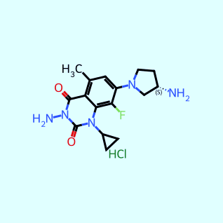 Cc1cc(N2CC[C@H](N)C2)c(F)c2c1c(=O)n(N)c(=O)n2C1CC1.Cl